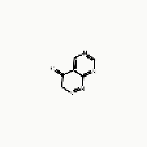 O=C1CN=Nc2ncncc21